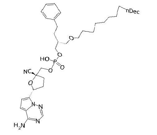 CCCCCCCCCCCCCCCCCCOC[C@@H](CCc1ccccc1)COP(=O)(O)OC[C@]1(C#N)CC[C@H](c2ccc3c(N)ncnn23)O1